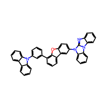 c1cc(-c2cccc3c2oc2ccc(-n4c5ccccc5n5c6ccccc6nc45)cc23)cc(-n2c3ccccc3c3ccccc32)c1